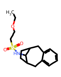 CCOCCS(=O)(=O)NC1C2CCC1Cc1ccccc1C2